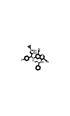 CC[C@@H](Nc1c(C#N)cnc2c(C#N)cc(NC(C3=CN(C4CC4)NN3)c3ccc(F)cc3)cc12)c1ccccc1